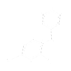 CC(=O)c1cc[n+](Cc2ccccc2)c(C(C)=O)c1